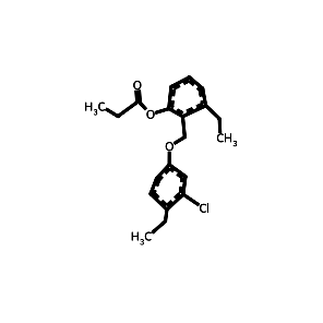 CCC(=O)Oc1cccc(CC)c1COc1ccc(CC)c(Cl)c1